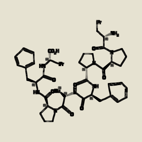 CC[C@H](C)[C@H](NC(=O)[C@H](Cc1ccccc1)NC(=O)[C@@H]1CCCN1C(=O)[C@@H]1CCCN1C(=O)[C@@H](N)CC(C)C)C(=O)N1CCC[C@H]1C(=O)N[C@@H](Cc1ccccc1)C(=O)N[C@H](C(=O)O)C(C)C